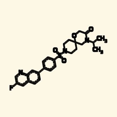 CC(C)N1CC2(CCN(S(=O)(=O)c3ccc(-c4ccc5cc(F)cnc5c4)cc3)CC2)OCC1=O